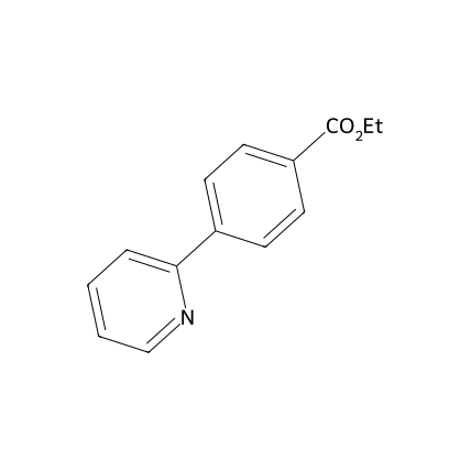 CCOC(=O)c1ccc(-c2ccccn2)cc1